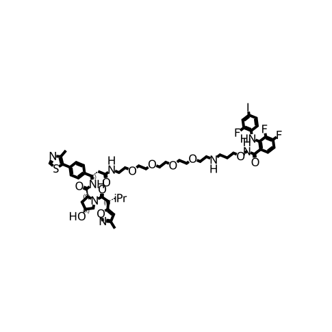 Cc1cc([C@H](C(=O)N2C[C@H](O)C[C@H]2C(=O)N[C@@H](CC(=O)NCCOCCOCCOCCOCCNCCCONC(=O)c2ccc(F)c(F)c2Nc2ccc(I)cc2F)c2ccc(-c3scnc3C)cc2)C(C)C)on1